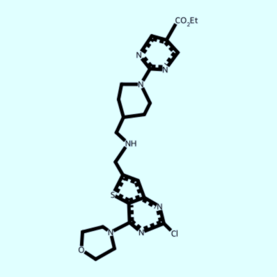 CCOC(=O)c1cnc(N2CCC(CNCc3cc4nc(Cl)nc(N5CCOCC5)c4s3)CC2)nc1